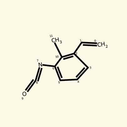 C=Cc1cccc(N=C=O)c1C